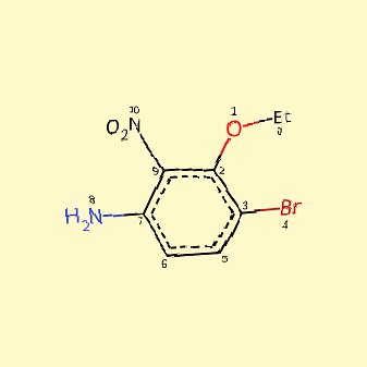 CCOc1c(Br)ccc(N)c1[N+](=O)[O-]